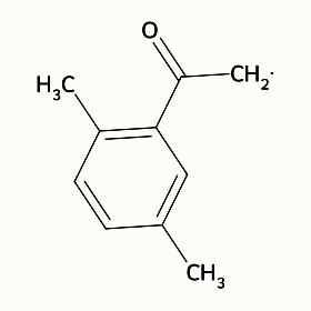 [CH2]C(=O)c1cc(C)ccc1C